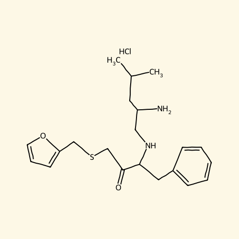 CC(C)CC(N)CNC(Cc1ccccc1)C(=O)CSCc1ccco1.Cl